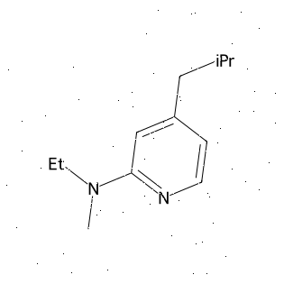 CCN(C)c1cc(CC(C)C)ccn1